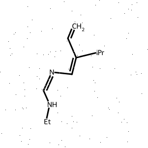 C=C/C(=C\N=C/NCC)C(C)C